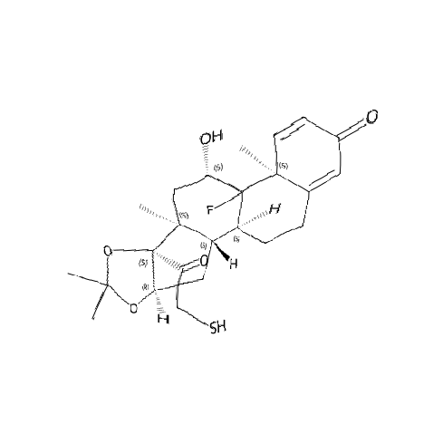 CC1(C)O[C@@H]2C[C@H]3[C@@H]4CCC5=CC(=O)C=C[C@]5(C)C4(F)[C@@H](O)C[C@]3(C)[C@]2(C(=O)CS)O1